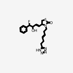 O=C1SCC(C=CC(O)C(F)c2ccccc2)N1CCC=CCCc1nnn[nH]1